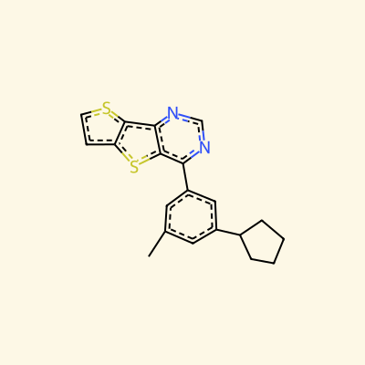 Cc1cc(-c2ncnc3c2sc2ccsc23)cc(C2CCCC2)c1